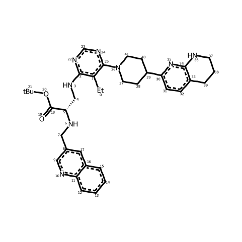 CCc1c(NC[C@H](NCc2cnc3ccccc3c2)C(=O)OC(C)(C)C)ncnc1N1CCC(c2ccc3c(n2)NCCC3)CC1